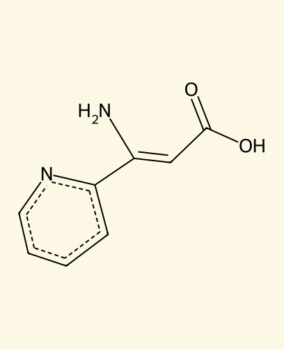 NC(=CC(=O)O)c1ccccn1